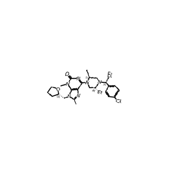 CC[C@@H]1CN(c2nc(=O)n(C)c3c2nc(C)n3C[C@@H]2CCCO2)[C@@H](C)CN1[C@@H](CC)c1ccc(Cl)cc1